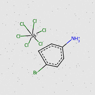 [Cl][Sb-]([Cl])([Cl])([Cl])([Cl])[Cl].[NH3+]c1ccc(Br)cc1